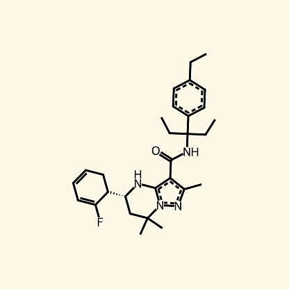 CCc1ccc(C(CC)(CC)NC(=O)c2c(C)nn3c2N[C@@H](C2CC=CC=C2F)CC3(C)C)cc1